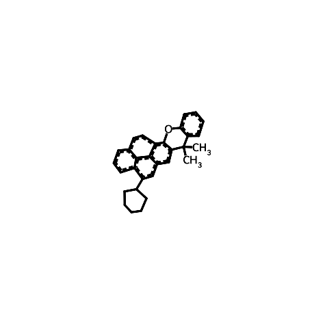 CC1(C)c2ccccc2Oc2c1cc1cc(C3CCCCC3)c3cccc4ccc2c1c43